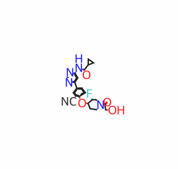 N#Cc1cc(-c2cc(NC(=O)C3CC3)ncn2)ccc1OC1CCN(C(=O)CO)CC1F